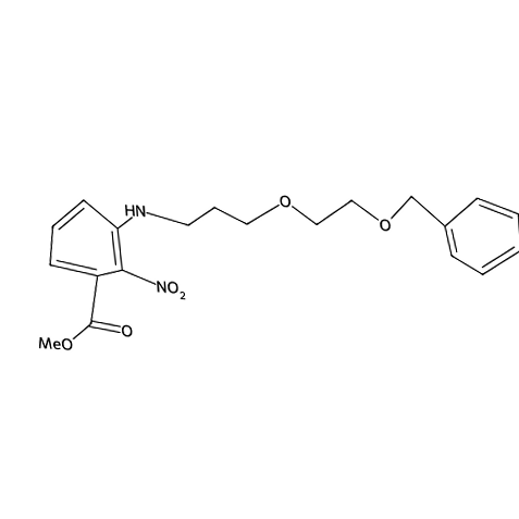 COC(=O)c1cccc(NCCCOCCOCc2ccccc2)c1[N+](=O)[O-]